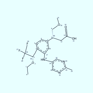 CCO[C@@H](c1ccc([C@H](COC)CC(=O)O)cc1Nc1cnc(C)nc1)C(F)(F)F